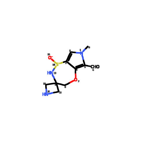 Cn1cc2c(c1C=O)OCC1(CNC1)N[S+]2[O-]